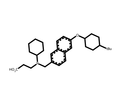 CC(C)(C)C1CCC(Oc2ccc3cc(CN(CCC(=O)O)C4CCCCC4)ccc3c2)CC1